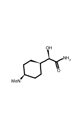 CN[C@H]1CC[C@@H]([C@@H](O)C(N)=O)CC1